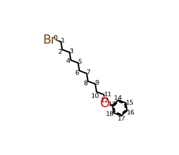 BrCCCCCCCCCCCOc1ccccc1